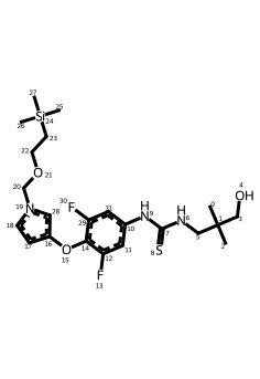 CC(C)(CO)CNC(=S)Nc1cc(F)c(Oc2ccn(COCC[Si](C)(C)C)c2)c(F)c1